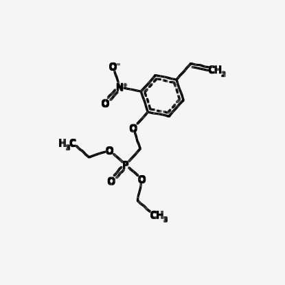 C=Cc1ccc(OCP(=O)(OCC)OCC)c([N+](=O)[O-])c1